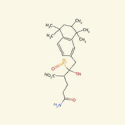 CC1CC(C)(C)c2ccc(CC(O)([PH2]=O)C(CCC(N)=O)C(=O)O)cc2C1(C)C